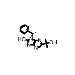 C[C@@H](c1ccccc1)n1c(O)nc2ncc(C(C)(C)O)nc21